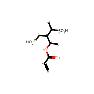 [CH2]C(C(CC(=O)O)C(C)OC(=O)C=C)S(=O)(=O)O